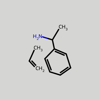 C=CC.CC(N)c1ccccc1